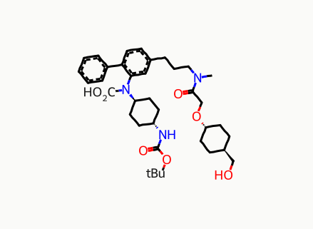 CN(CCCc1ccc(-c2ccccc2)c(N(C(=O)O)[C@H]2CC[C@H](NC(=O)OC(C)(C)C)CC2)c1)C(=O)CO[C@H]1CC[C@H](CO)CC1